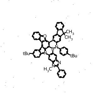 Cn1c(-c2ccccc2)nc2cc3c(cc21)-n1c2ccc(C(C)(C)C)cc2c2c4c(oc5ccccc54)c4c(c21)B3N(c1ccc(C(C)(C)C)cc1)c1cc2c(cc1-4)-c1ccccc1C2(C)C